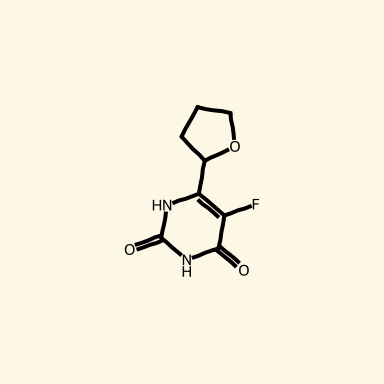 O=c1[nH]c(C2CCCO2)c(F)c(=O)[nH]1